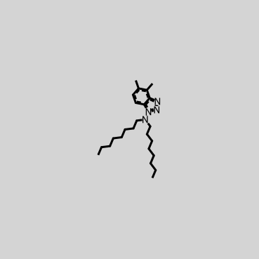 CCCCCCCCN(CCCCCCCC)n1nnc2c(C)c(C)ccc21